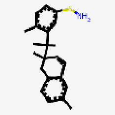 Cc1ccc2c(c1)C=CC(C)(C(C)(C)c1cc(SN)ccc1C)C2